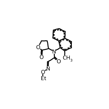 CCON=CC(=O)N(c1c(C)ccc2ccccc12)C1CCOC1=O